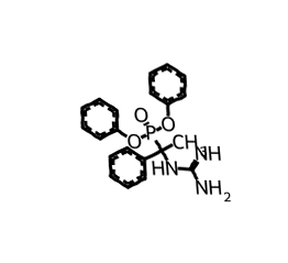 CC(NC(=N)N)(c1ccccc1)P(=O)(Oc1ccccc1)Oc1ccccc1